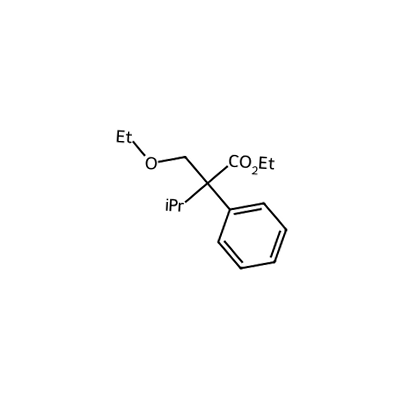 CCOCC(C(=O)OCC)(c1ccccc1)C(C)C